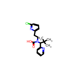 CC(C)(C)C(c1ccccn1)N(CCc1cccc(Cl)n1)C(=O)O